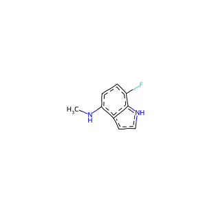 CNc1ccc(F)c2[nH]ccc12